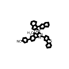 CC1(C)c2cc(-c3ccc(C#N)cc3)ccc2-c2nc(-c3ccc4sc5ccccc5c4c3)nc(-n3c4cc5ccccc5cc4c4c5ccccc5ccc43)c21